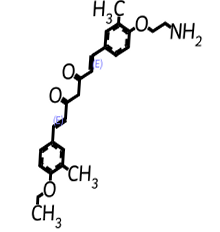 CCOc1ccc(/C=C/C(=O)CC(=O)/C=C/c2ccc(OCCN)c(C)c2)cc1C